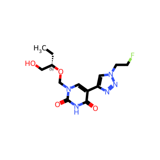 CC[C@@H](CO)OCn1cc(-c2cn(CCF)nn2)c(=O)[nH]c1=O